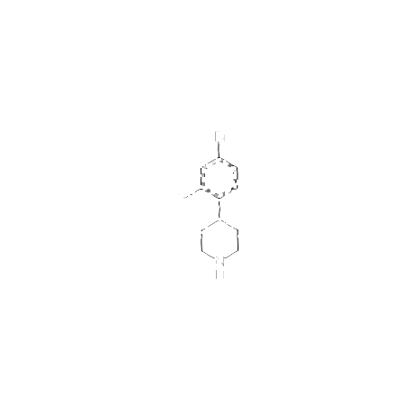 Clc1cc(Br)ccc1C1CCNCC1